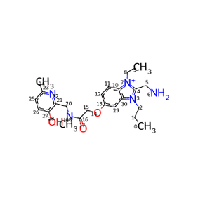 CCCn1c(CN)[n+](CC)c2ccc(OCC(=O)N(C)Cc3nc(C)ccc3O)cc21